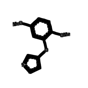 COc1ccc(OC)c(Oc2c[c]sc2)c1